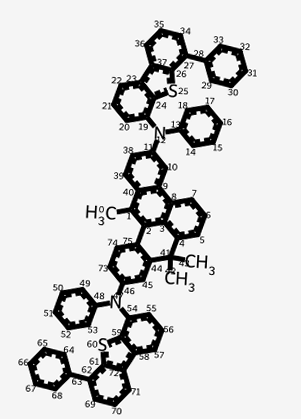 Cc1c2c3c(cccc3c3cc(N(c4ccccc4)c4cccc5c4sc4c(-c6ccccc6)cccc45)ccc13)C(C)(C)c1cc(N(c3ccccc3)c3cccc4c3sc3c(-c5ccccc5)cccc34)ccc1-2